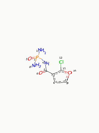 NP(N)(=O)NC(=O)c1ccoc1Cl